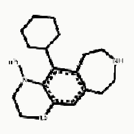 CCCN1CCOc2cc3c(c(C4CCCCC4)c21)CCNCC3